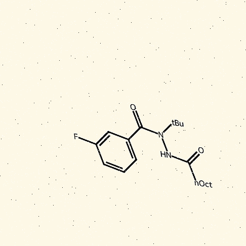 CCCCCCCCC(=O)NN(C(=O)c1cccc(F)c1)C(C)(C)C